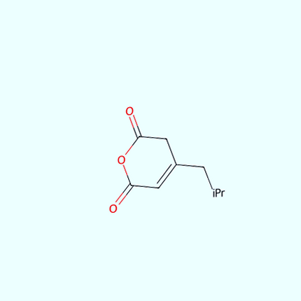 CC(C)CC1=CC(=O)OC(=O)C1